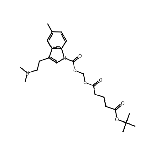 Cc1ccc2c(c1)c(CCN(C)C)cn2C(=O)OCOC(=O)CCCC(=O)OC(C)(C)C